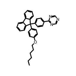 CCCCCCOc1ccc(C2(c3ccc(-c4ncncn4)cc3)c3ccccc3-c3ccccc32)cc1